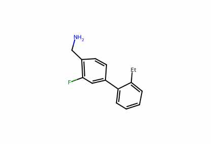 CCc1ccccc1-c1ccc(CN)c(F)c1